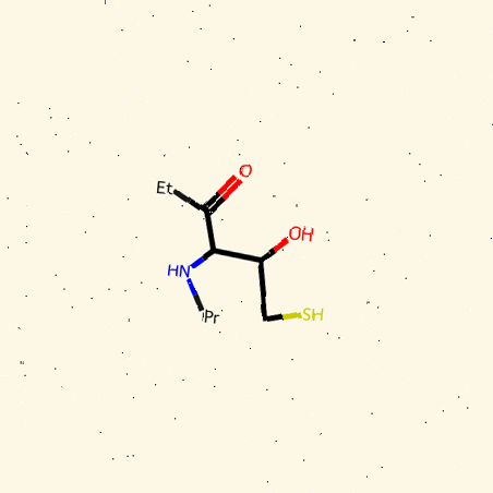 CCC(=O)C(NC(C)C)C(O)CS